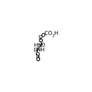 O=C(NCCNC(=O)C1CCN(c2ccccc2)CC1)c1ccc(O[C@H]2CC[C@@H](C(=O)O)CC2)cc1